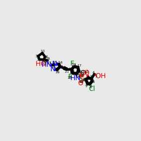 COc1c(CO)cc(Cl)cc1S(=O)(=O)Nc1ccc(F)c(C#Cc2cnc(NCC3(O)CCCC3)nc2)c1F